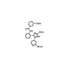 COc1cccc(C(=O)Nc2ccccc2-c2nc(SC)[nH]c2-c2ccnc(NC(C)=O)c2)c1